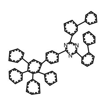 c1ccc(-c2cccc(-c3nc(-c4ccc(-c5cc(-c6ccccc6)c(-c6ccccc6)c(-c6ccccc6)c5-c5ccccc5)cc4)nc(-c4ccccc4-c4ccccc4)n3)c2)cc1